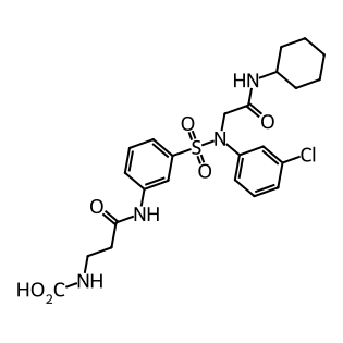 O=C(O)NCCC(=O)Nc1cccc(S(=O)(=O)N(CC(=O)NC2CCCCC2)c2cccc(Cl)c2)c1